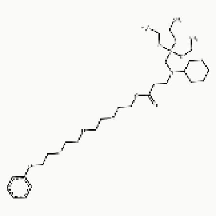 CCO[Si](CN(CCC(=O)OCCOCCOCCOCCOc1ccccc1)C1CCCCC1)(OCC)OCC